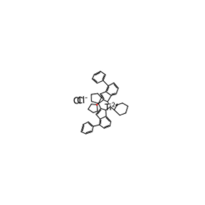 C1=C(C2CCCC2)[CH]([Ti+2]2([CH]3C(C4CCCC4)=Cc4c(-c5ccccc5)cccc43)[CH]3CCCC[CH]32)c2cccc(-c3ccccc3)c21.[Cl-].[Cl-]